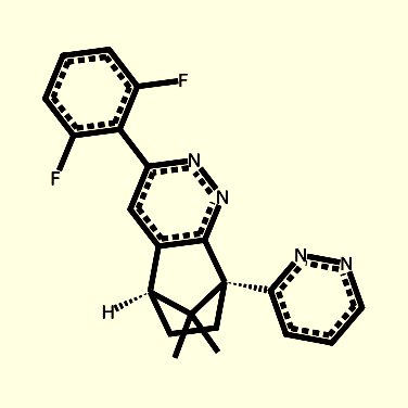 CC1(C)[C@H]2CC[C@]1(c1cccnn1)c1nnc(-c3c(F)cccc3F)cc12